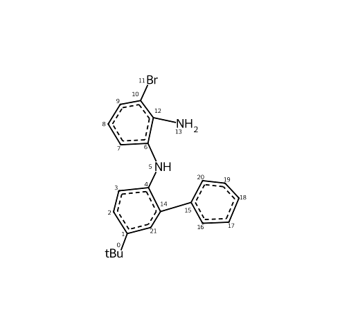 CC(C)(C)c1ccc(Nc2cccc(Br)c2N)c(-c2ccccc2)c1